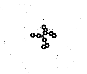 c1ccc(-c2ccc(N(c3ccc(-c4cccc5ccccc45)cc3)c3cc(-c4ccc5ccccc5c4)c4sc5ccccc5c4c3)cc2)cc1